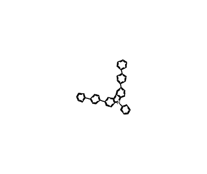 c1ccc(-c2ccc(-c3ccc4c(c3)c3cc(-c5ccc(-c6ccccc6)cc5)ccc3n4-c3ccccc3)cc2)cc1